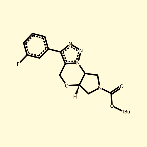 CC(C)(C)OC(=O)N1CC2[C@H](C1)OCc1c(-c3cccc(F)c3)nnn12